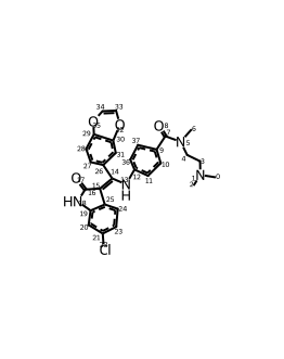 CN(C)CCN(C)C(=O)c1ccc(NC(=C2C(=O)Nc3cc(Cl)ccc32)c2ccc3c(c2)OC=CO3)cc1